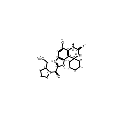 COCC1CCCN1C(=O)c1nc2cc(Cl)c3c(c2o1)C1(CCCCC1)NC(=O)N3